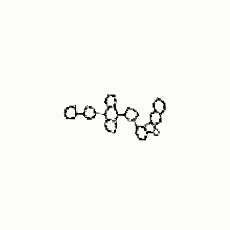 c1ccc(-c2ccc(-c3c4ccccc4c(-c4cccc(-c5cccc6oc7cc8ccccc8cc7c56)c4)c4ccccc34)cc2)cc1